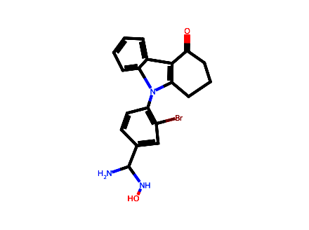 NC(NO)c1ccc(-n2c3c(c4ccccc42)C(=O)CCC3)c(Br)c1